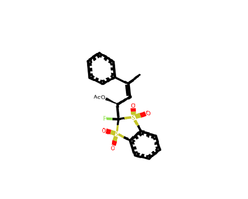 CC(=O)O[C@@H](C=C(C)c1ccccc1)C1(F)S(=O)(=O)c2ccccc2S1(=O)=O